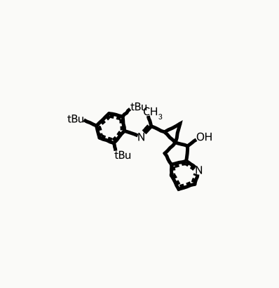 CC(=Nc1c(C(C)(C)C)cc(C(C)(C)C)cc1C(C)(C)C)C1CC12Cc1cccnc1C2O